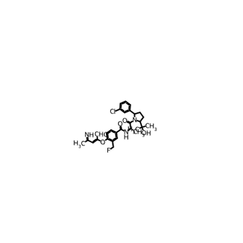 CC(=N)/C=C(\C=O)Oc1ccc(C(=O)N[C@H](C)C(=O)N2C(c3cccc(Cl)c3)CCC2C(C)(C)O)cc1CF